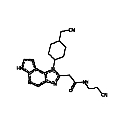 N#CCCNC(=O)Cc1nc2cnc3[nH]ccc3c2n1C1CCC(CC#N)CC1